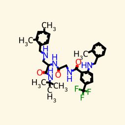 Cc1ccc(CNCC(NC(=O)CNC(=O)c2cc(C(F)(F)F)ccc2NCc2ccccc2C)C(=O)NC(C)(C)C)c(C)c1